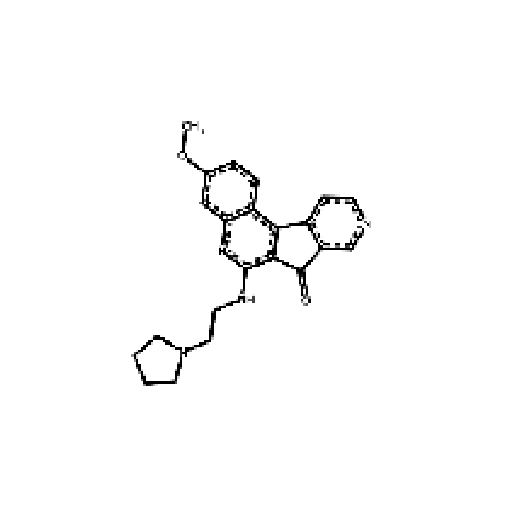 COc1ccc2c3c(c(NCCN4CCCC4)nc2c1)C(=O)c1cnccc1-3